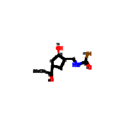 COC(=O)C1C[C@H](CNC(=O)S)[C@@H](O)C1